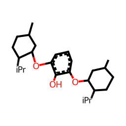 CC1CCC(C(C)C)C(Oc2cccc(OC3CC(C)CCC3C(C)C)c2O)C1